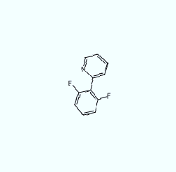 Fc1cccc(F)c1-c1ccccn1